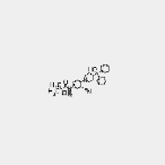 CC(C)(C)C(=O)Nc1ccc(N2CCC(C(O)(c3ccccc3)c3ccccc3)CC2)c(C#N)c1